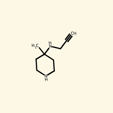 C#CCNC1(C)CCNCC1